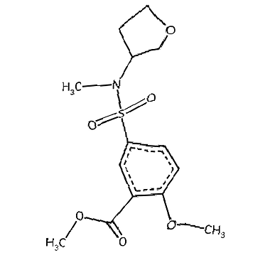 COC(=O)c1cc(S(=O)(=O)N(C)C2CCOC2)ccc1OC